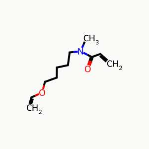 C=COCCCCCN(C)C(=O)C=C